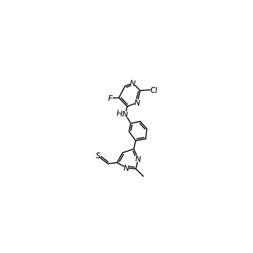 Cc1nc(C=S)cc(-c2cccc(Nc3nc(Cl)ncc3F)c2)n1